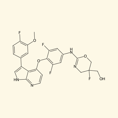 COc1cc(-c2c[nH]c3nccc(Oc4c(F)cc(NC5=NCC(F)(CO)CO5)cc4F)c23)ccc1F